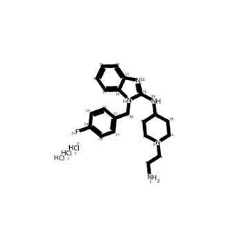 Cl.Cl.Cl.NCCN1CCC(Nc2nc3ccccc3n2Cc2ccc(F)cc2)CC1